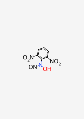 O=NN(O)c1c([N+](=O)[O-])cccc1[N+](=O)[O-]